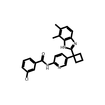 Cc1ccc2nc(C3(c4ccc(NC(=O)c5cccc(Cl)c5)nc4)CCC3)[nH]c2c1C